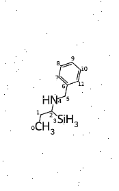 CCC([SiH3])NCc1ccccc1